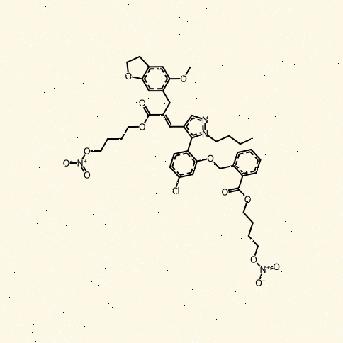 CCCCn1ncc(/C=C(\Cc2cc3c(cc2OC)CCO3)C(=O)OCCCCO[N+](=O)[O-])c1-c1ccc(Cl)cc1OCc1ccccc1C(=O)OCCCCO[N+](=O)[O-]